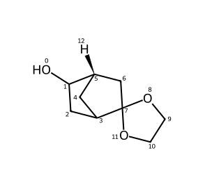 OC1CC2C[C@H]1CC21OCCO1